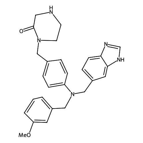 COc1cccc(CN(Cc2ccc3nc[nH]c3c2)c2ccc(CN3CCNCC3=O)cc2)c1